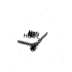 CCCCCCCCCCCCCCCCOCC(COP(=O)([O-])[O-])OCCCCCCCCCCCCCCCC.NC(CO)C(=O)O.[Na+].[Na+]